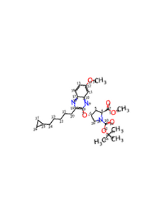 COC(=O)[C@@H]1C[C@@H](Oc2nc3cc(OC)ccc3nc2CCCCCC2CC2)CN1C(=O)OC(C)(C)C